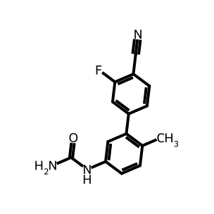 Cc1ccc(NC(N)=O)cc1-c1ccc(C#N)c(F)c1